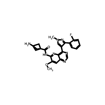 COc1cc2ncnc(-c3cn(C)nc3-c3ccccc3F)c2nc1NC(=O)C12CC(N)(C1)C2